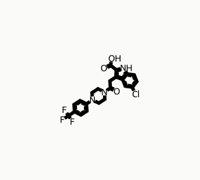 O=C(O)c1[nH]c2ccc(Cl)cc2c1CC(=O)N1CCN(c2ccc(C(F)(F)F)cc2)CC1